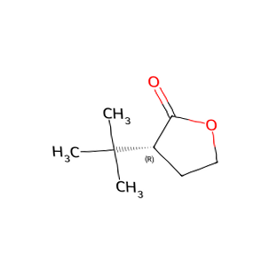 CC(C)(C)[C@H]1CCOC1=O